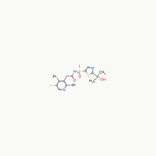 CC(C)c1ncc(F)c(C(C)C)c1CC(=O)N=[S@@](=O)(I)c1cnc(C(C)(C)O)s1